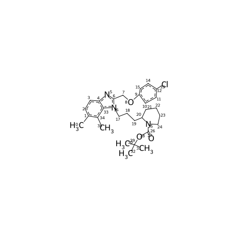 Cc1ccc2nc(COc3ccc(Cl)cc3)n(CCCC3CCCCN3C(=O)OC(C)(C)C)c2c1C